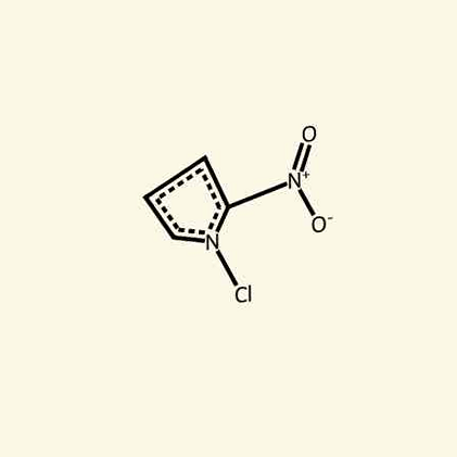 O=[N+]([O-])c1cccn1Cl